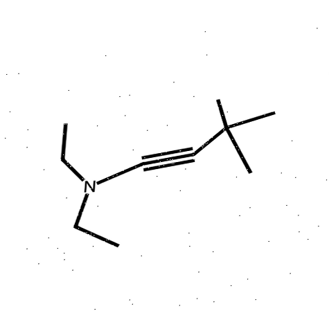 CCN(C#CC(C)(C)C)CC